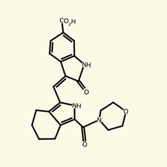 O=C1Nc2cc(C(=O)O)ccc2/C1=C/c1[nH]c(C(=O)N2CCOCC2)c2c1CCCC2